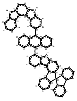 c1ccc2c(c1)-c1ccccc1C21c2ccccc2-c2c1ccc1oc3c(-c4c5ccccc5c(-c5ccc6oc7ccc8sc9ccccc9c8c7c6c5)c5ccccc45)cccc3c21